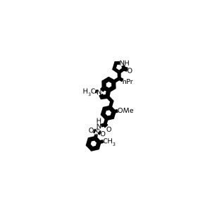 CCCC(c1ccc2c(c1)c(Cc1ccc(C(=O)NS(=O)(=O)c3ccccc3C)cc1OC)cn2C)C1CCNC1=O